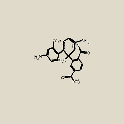 NC(=O)c1ccc(C(N)=O)c(C2(C(=O)O)CC(N)=CC=C2c2ccc(N)cc2C(=O)O)c1